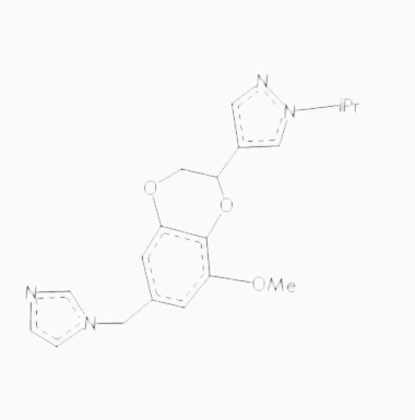 COc1cc(Cn2ccnc2)cc2c1OC(c1cnn(C(C)C)c1)CO2